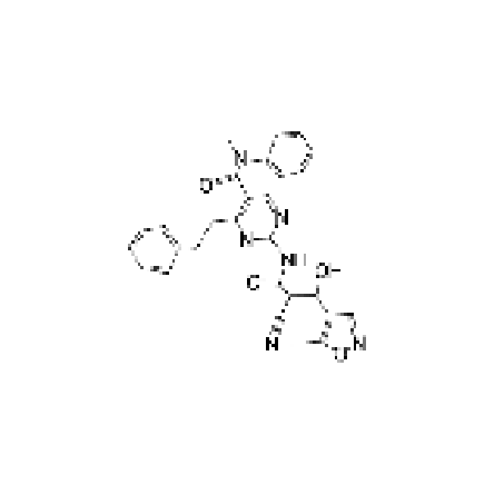 Cc1oncc1C(O)C(C#N)C(=O)Nc1ncc(C(=O)N(C)c2ccccc2)c(CCc2ccccc2)n1